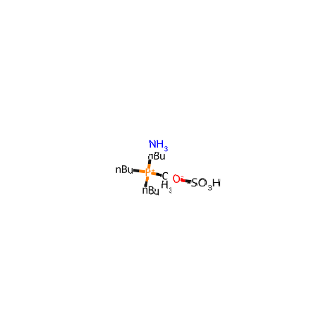 CCCC[P+](C)(CCCC)CCCC.N.O=S(=O)([O-])O